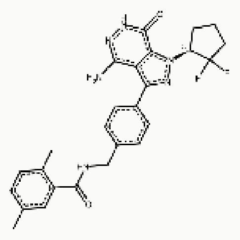 Cc1ccc(C)c(C(=O)NCc2ccc(-c3nn([C@H]4CCCC4(F)F)c4c(=O)[nH]nc(N)c34)cc2)c1